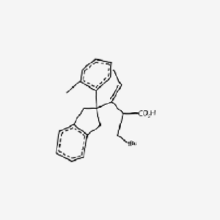 C/C=C(/C(CC(C)(C)C)C(=O)O)C1(c2ccccc2C)Cc2ccccc2C1